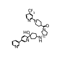 O=C(C1CCN(c2cc(C(F)(F)F)ccn2)CC1)N1CC[C@H](NC2CCC(O)(c3ccc(-c4cccnc4)cn3)CC2)C1